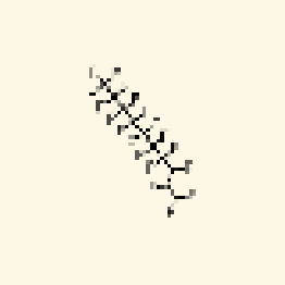 FC(F)C(F)C(F)C(F)(F)C(F)(F)C(F)(F)C(F)(F)C(F)(F)C(F)(F)C(F)(F)F